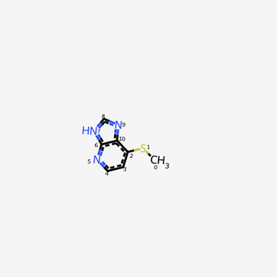 CSc1ccnc2[nH]cnc12